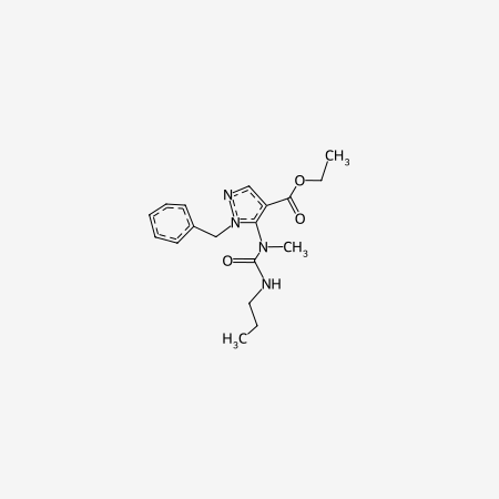 CCCNC(=O)N(C)c1c(C(=O)OCC)cnn1Cc1ccccc1